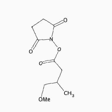 COCC(C)CC(=O)ON1C(=O)CCC1=O